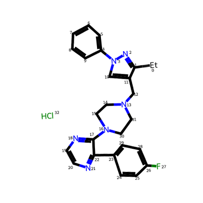 CCc1nn(-c2ccccc2)cc1CN1CCN(c2nccnc2-c2ccc(F)cc2)CC1.Cl